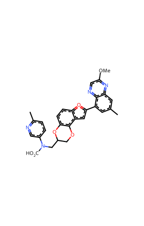 COc1cnc2c(-c3cc4c5c(ccc4o3)OC(CN(C(=O)O)c3ccc(C)nc3)CO5)cc(C)cc2n1